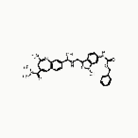 CCCN(CCC)C(=O)C1=Cc2ccc(C(O)NCC3OB(O)c4cc(NC(=O)OCc5ccccc5)ccc43)cc2N=C(N)C1